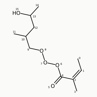 CC=C(C)C(=O)OOOCC(C)CC(C)O